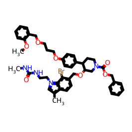 CNC(=O)NCCn1cc(C)c2ccc(COC3CN(C(=O)OCc4ccccc4)CCC3c3ccc(OCCCOCc4ccccc4OC)cc3)c(Br)c21